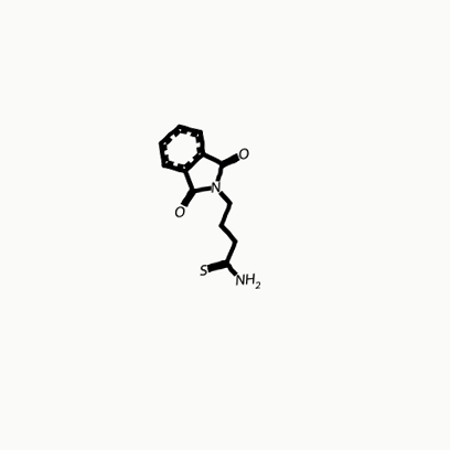 NC(=S)CCCN1C(=O)c2ccccc2C1=O